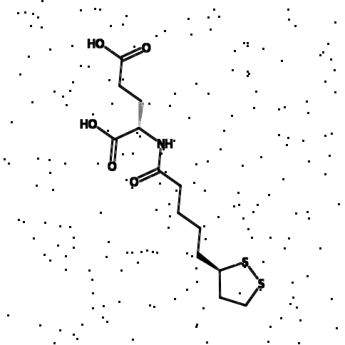 O=C(O)CC[C@H](NC(=O)CCCC[C@@H]1CCSS1)C(=O)O